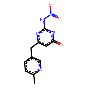 Cc1ccc(Cc2cc(=O)[nH]c(N[N+](=O)[O-])n2)cn1